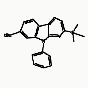 CC(C)(C)c1ccc2c3ccc(S(C)(C)C)cc3n(-c3ccccc3)c2c1